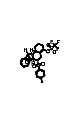 Cc1ccc(S(=O)(=O)[C@]23CC4=C(OS(=O)(=O)C(F)(F)F)CCC[C@H]4N4[C@H](C2=O)c2ccccc2[C@@H]43)cc1